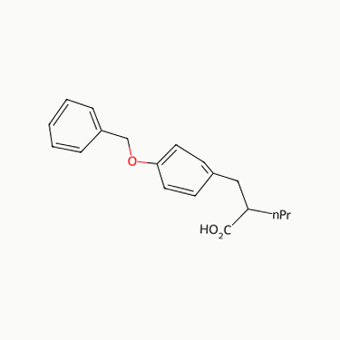 CCCC(Cc1ccc(OCc2ccccc2)cc1)C(=O)O